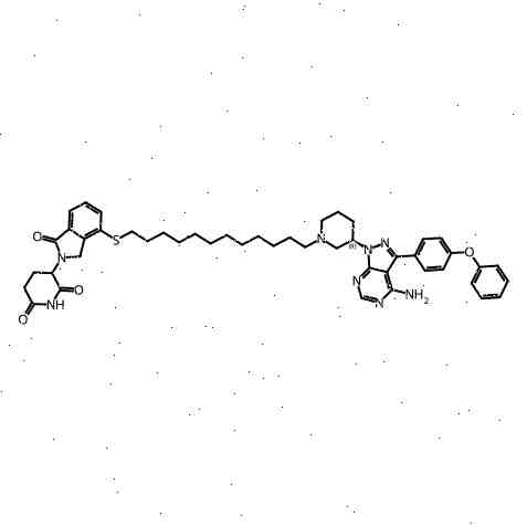 Nc1ncnc2c1c(-c1ccc(Oc3ccccc3)cc1)nn2[C@@H]1CCCN(CCCCCCCCCCCCSc2cccc3c2CN(C2CCC(=O)NC2=O)C3=O)C1